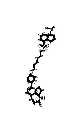 CN(C)c1cccc2c(S(=O)(=O)NCCCCCCOc3ccc(C4=NC=C5C=CC(=O)NC6=C5N4CC6)cc3)cccc12